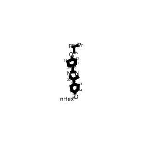 CCCCCCOc1ccc(-c2cnc(-c3ccc(OCC(F)C(C)C)cc3)nc2)cc1